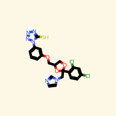 Sc1nnnn1-c1cccc(OCC2COC(Cn3ccnc3)(c3ccc(Cl)cc3Cl)O2)c1